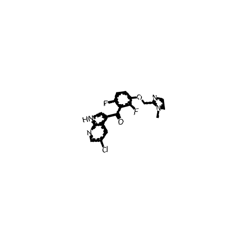 Cn1ccnc1COc1ccc(F)c(C(=O)c2c[nH]c3ncc(Cl)cc23)c1F